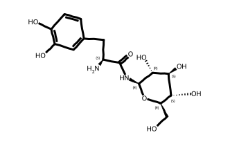 N[C@@H](Cc1ccc(O)c(O)c1)C(=O)N[C@@H]1O[C@H](CO)[C@@H](O)[C@H](O)[C@H]1O